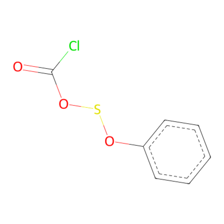 O=C(Cl)OSOc1ccccc1